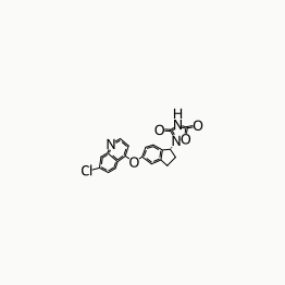 O=c1[nH]c(=O)n([C@@H]2CCc3cc(Oc4ccnc5cc(Cl)ccc45)ccc32)o1